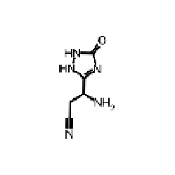 N#CCC(N)c1nc(=O)[nH][nH]1